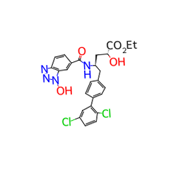 CCOC(=O)[C@H](O)C[C@@H](Cc1ccc(-c2cc(Cl)ccc2Cl)cc1)NC(=O)c1ccc2nnn(O)c2c1